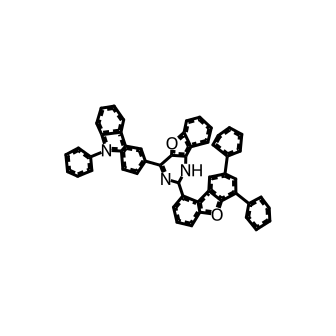 c1ccc(-c2cc(-c3ccccc3)c3oc4cccc(C5N=C(c6ccc7c(c6)c6ccccc6n7-c6ccccc6)c6oc7ccccc7c6N5)c4c3c2)cc1